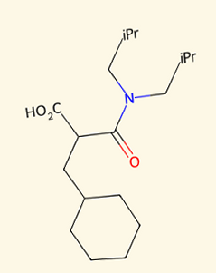 CC(C)CN(CC(C)C)C(=O)C(CC1CCCCC1)C(=O)O